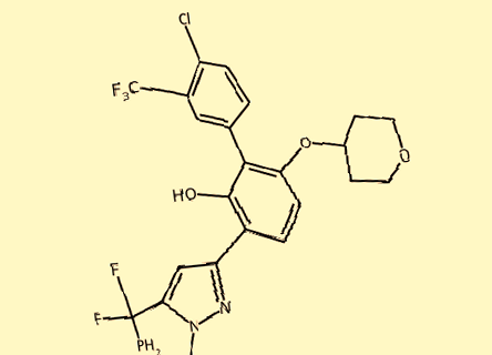 Cn1nc(-c2ccc(OC3CCOCC3)c(-c3ccc(Cl)c(C(F)(F)F)c3)c2O)cc1C(F)(F)P